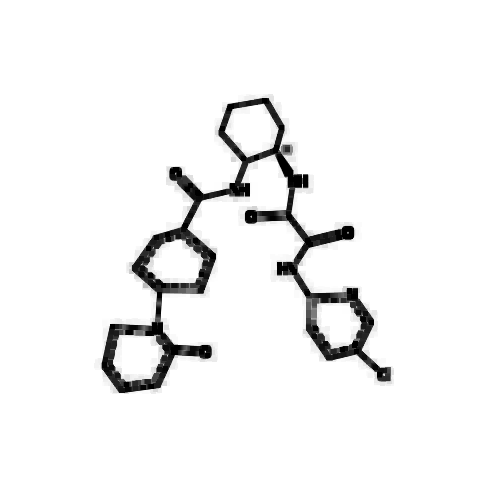 O=C(Nc1ccc(Cl)cn1)C(=O)N[C@@H]1CCCCC1NC(=O)c1ccc(-n2ccccc2=O)cc1